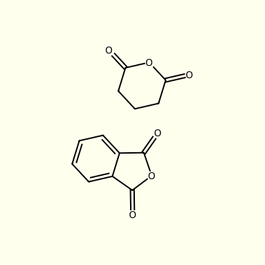 O=C1CCCC(=O)O1.O=C1OC(=O)c2ccccc21